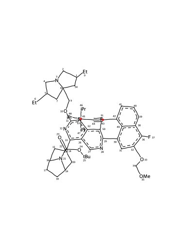 CCC1CN2CC(CC)CC2(COc2nc(N3CC4CCC(C3)N4C(=O)OC(C)(C)C)c3cnc(-c4cc(OCOC)c(F)c5cccc(C#C[Si](C(C)C)(C(C)C)C(C)C)c45)c(F)c3n2)C1